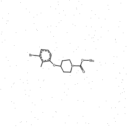 Cc1c(Br)cccc1OC1CCN(C(=O)OC(C)(C)C)CC1